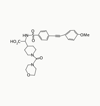 COc1ccc(C#Cc2ccc(S(=O)(=O)NC(C(=O)O)C3CCN(C(=O)N4CCOCC4)CC3)cc2)cc1